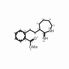 COC(=O)c1ccccc1CCC1CCCCNC1=N